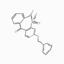 CN1c2ccccc2C(=O)c2ccc(OCc3ccccc3)cc2S1(=O)=O